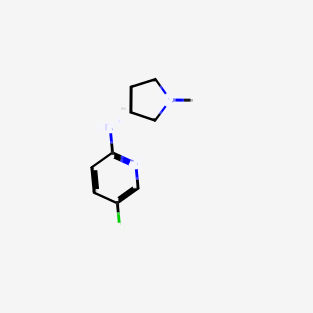 O=C(O)N1CC[C@@H](Nc2ccc(Cl)cn2)C1